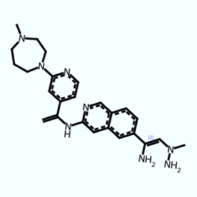 C=C(Nc1cc2cc(/C(N)=C/N(C)N)ccc2cn1)c1ccnc(N2CCCN(C)CC2)c1